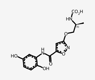 C[C@@H](COc1cc(C(=O)Nc2cc(O)ccc2O)on1)NC(=O)O